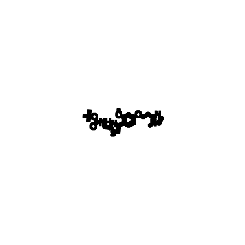 COc1cc(OCCc2nccn2C)ccc1-c1csc(CNC(=O)OC(C)(C)C)n1